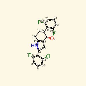 O=C1c2cc(-c3c(F)cccc3Cl)[nH]c2CCC1c1c(F)cccc1F